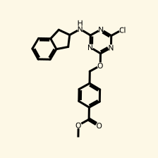 COC(=O)c1ccc(COc2nc(Cl)nc(NC3Cc4ccccc4C3)n2)cc1